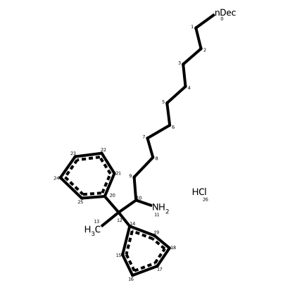 CCCCCCCCCCCCCCCCCCCC(N)C(C)(c1ccccc1)c1ccccc1.Cl